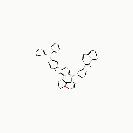 c1ccc(-c2c(N(c3ccccc3)c3ccc4oc5c6ccccc6ccc5c4c3)ccc3c2oc2ccc(N(c4ccccc4)c4ccccc4)cc23)cc1